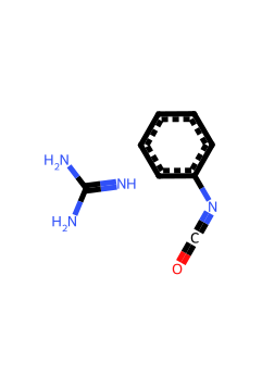 N=C(N)N.O=C=Nc1ccccc1